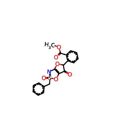 COC(=O)c1ccccc1C1OC2=C(OS(=O)(Cc3ccccc3)=N2)C1=O